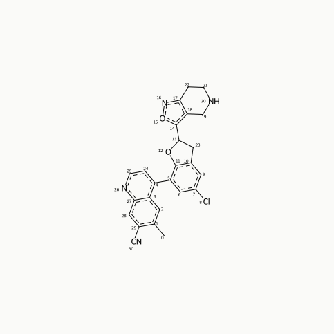 Cc1cc2c(-c3cc(Cl)cc4c3OC(c3onc5c3CNCC5)C4)ccnc2cc1C#N